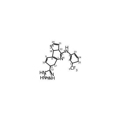 FC(F)(F)C1C=C(NC2=NC3=C(C=CC(C4=NNNN4)C3)C3SC=CC23)C=CC1